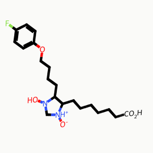 O=C(O)CCCCCCC1C(CCCCOc2ccc(F)cc2)N(O)C[NH+]1[O-]